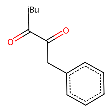 CCC(C)C(=O)C(=O)Cc1ccccc1